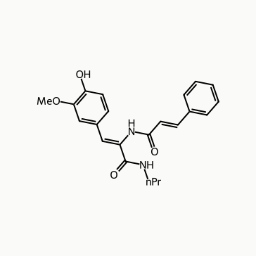 CCCNC(=O)/C(=C/c1ccc(O)c(OC)c1)NC(=O)/C=C/c1ccccc1